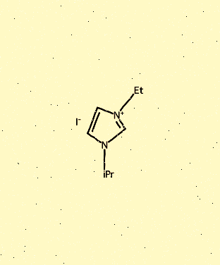 CC[n+]1ccn(C(C)C)c1.[I-]